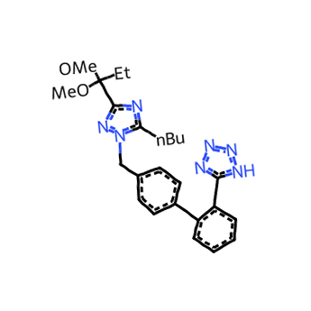 CCCCc1nc(C(CC)(OC)OC)nn1Cc1ccc(-c2ccccc2-c2nnn[nH]2)cc1